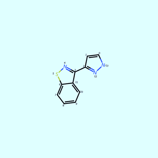 C1=CC(c2nsc3ccccc23)=N[N]1